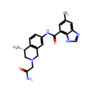 C[C@H]1CN(CC(N)=O)Cc2cc(NC(=O)c3cc(C(F)(F)F)cc4nc[nH]c34)ccc21